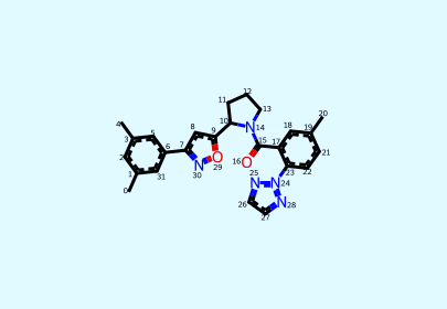 Cc1cc(C)cc(-c2cc(C3CCCN3C(=O)c3cc(C)ccc3-n3nccn3)on2)c1